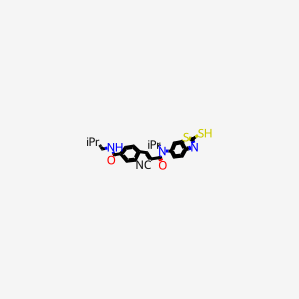 CC(C)CNC(=O)c1ccc(C=C(C#N)C(=O)N(c2ccc3nc(S)sc3c2)C(C)C)cc1